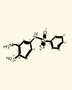 Nc1cc(NS(=O)(=O)c2ccccc2)ccc1S(=O)(=O)O